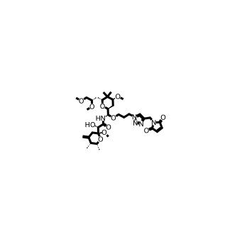 C=C1C[C@](OC)([C@H](O)C(=O)N[C@@H](OCCCn2cc(CN3C(=O)C=CC3=O)nn2)[C@@H]2C[C@@H](OC)C(C)(C)[C@@H](C[C@@H](COC)OC)O2)O[C@H](C)[C@@H]1C